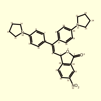 O=C1OC(C=C(c2ccc(N3CCCC3)cc2)c2ccc(N3CCCC3)cc2)c2ccc([N+](=O)[O-])cc21